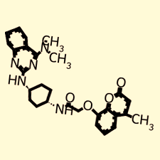 Cc1cc(=O)oc2c(OCC(=O)N[C@H]3CC[C@@H](Nc4nc(N(C)C)c5ccccc5n4)CC3)cccc12